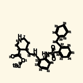 CC(C)(C)OC(=O)C1CNCCC1CNc1ccccc1NS(=O)(=O)c1ccccc1Cc1ccccc1